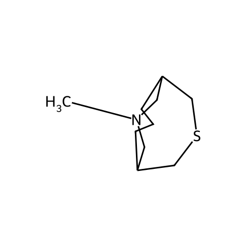 CN1CC2CCCC(CSC2)C1